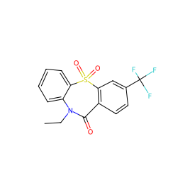 CCN1C(=O)c2ccc(C(F)(F)F)cc2S(=O)(=O)c2ccccc21